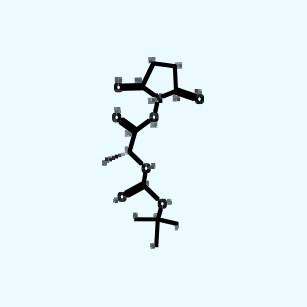 C[C@@H](OC(=O)OC(C)(C)C)C(=O)ON1C(=O)CCC1=O